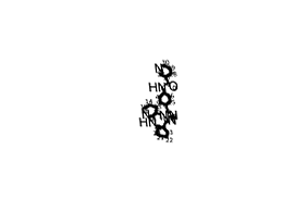 O=C(Nc1ccc(-c2nnc3n2-c2cccnc2Nc2ccccc2-3)cc1)c1cccnc1